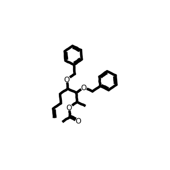 C=CCCC(OCc1ccccc1)C(OCc1ccccc1)C(C)OC(C)=O